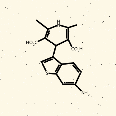 CC1=C(C(=O)O)C(c2csc3cc(N)ccc23)C(C(=O)O)=C(C)N1